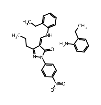 CCCC1=NN(c2ccc([N+](=O)[O-])cc2)C(=O)C1=CNc1ccccc1CC.CCc1ccccc1N